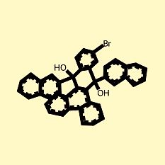 OC1(c2ccc3ccccc3c2)c2ccc(Br)cc2C(O)(c2ccc3ccccc3c2)c2c1c1ccccc1c1ccccc21